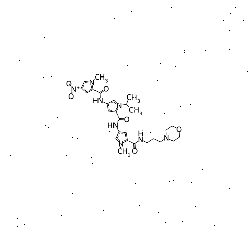 CC(C)n1cc(NC(=O)c2cc([N+](=O)[O-])cn2C)cc1C(=O)Nc1cc(C(=O)NCCCN2CCOCC2)n(C)c1